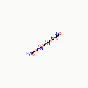 CN1CC(C(=O)NCCOCCC(=O)NCCOCC(=O)NCCOCCC(N)=O)CC1=O